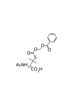 CC(=O)N[C@@H](C(=O)O)C(C)(C)SC(=O)OCOC(=O)c1ccccc1